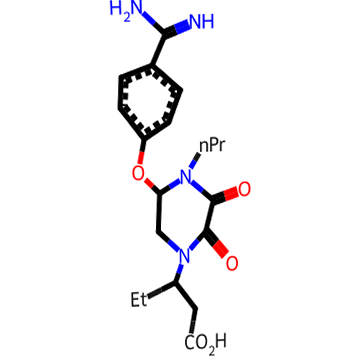 CCCN1C(=O)C(=O)N(C(CC)CC(=O)O)CC1Oc1ccc(C(=N)N)cc1